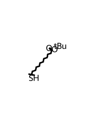 CC(C)(S)CCCCCCCCCCC(=O)OC(C)(C)C